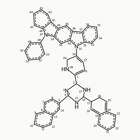 C1=C(C2N=C(c3ccc4ccccc4c3)NC(C3C=c4ccccc4=CC3)N2)NCC(n2c3ccccc3c3cc4c5ccccc5n(-c5ccccc5)c4cc32)=C1